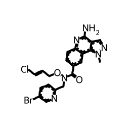 Cn1ncc2c(N)nc3ccc(C(=O)N(Cc4ccc(Br)cn4)OCC=CCl)cc3c21